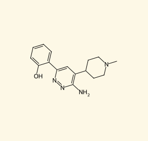 CN1CCC(c2cc(-c3ccccc3O)nnc2N)CC1